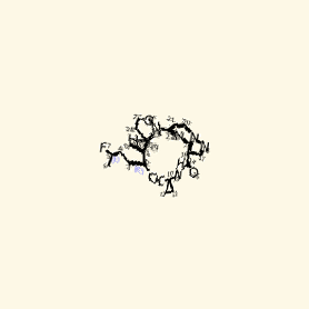 C=C1/C(=C\C=C(/C)F)OCC2(CC2)NC(=O)c2cnn3ccc(nc23)N2OCC[C@@H]12